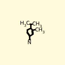 CC1=CC(C#N)=CCC1C(C)C